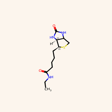 CCNC(=O)CCCC[C@@H]1SCC2NC(=O)N[C@@H]21